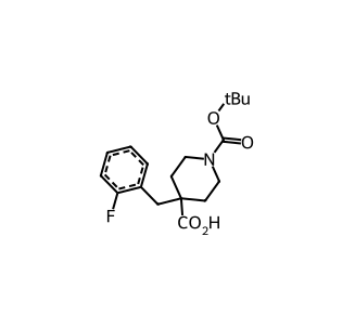 CC(C)(C)OC(=O)N1CCC(Cc2ccccc2F)(C(=O)O)CC1